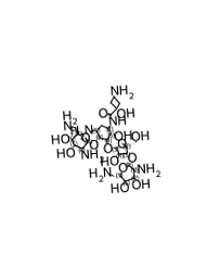 NC[C@@H]1O[C@H](O[C@H]2[C@@H](O)[C@H](O[C@@H]3[C@@H](O)[C@H](NC(=O)C4(O)CC(N)C4)C[C@H](N)[C@H]3O[C@H]3O[C@H](CN)[C@@H](O)[C@@H](O)[C@H]3N)O[C@@H]2CO)[C@H](N)[C@@H](O)[C@@H]1O